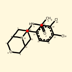 CC(=O)NC1CC2COCC(C1)N2Cc1ccc(Cl)c(Cl)c1